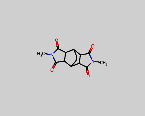 CN1C(=O)C2C3CCC(C2C1=O)C1C(=O)N(C)C(=O)C31